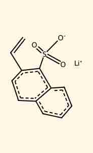 C=Cc1ccc2ccccc2c1S(=O)(=O)[O-].[Li+]